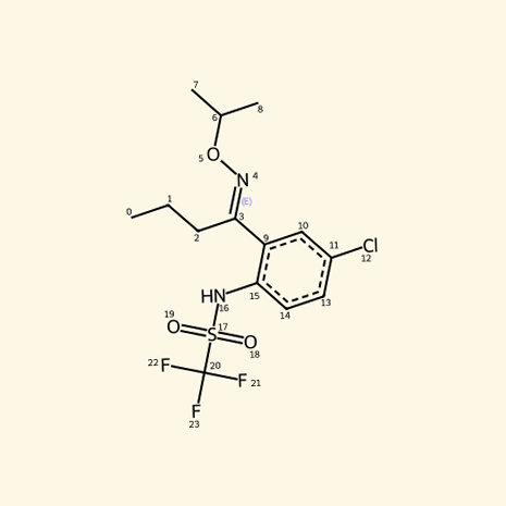 CCC/C(=N\OC(C)C)c1cc(Cl)ccc1NS(=O)(=O)C(F)(F)F